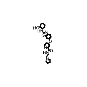 O=C(NCCN1CCCC1)c1cc(Oc2ccc3nc(N[C@@H]4CCCCC4O)sc3c2)ccn1